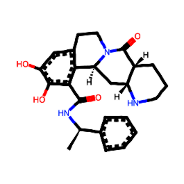 C[C@@H](NC(=O)c1c(O)c(O)cc2c1[C@@H]1C[C@H]3NCCC[C@H]3C(=O)N1CC2)c1ccccc1